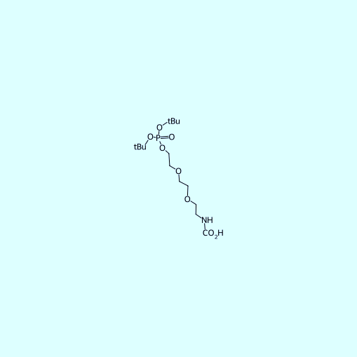 CC(C)(C)OP(=O)(OCCOCCOCCNC(=O)O)OC(C)(C)C